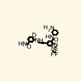 CNC(=O)c1ccc(OC)c(NCC#Cc2cc(C(=O)N[C@@H]3CCC[C@H](N)C3)c3ncn(CC(F)(F)F)c3c2)c1